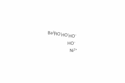 [Ba+2].[Ni+2].[OH-].[OH-].[OH-].[OH-]